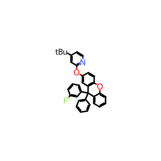 CC(C)(C)c1ccnc(Oc2ccc3c(c2)C(c2ccccc2)(c2cccc(F)c2)c2ccccc2O3)c1